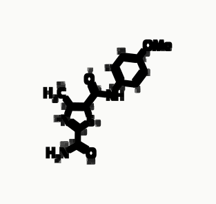 COc1ccc(NC(=O)c2sc(C(N)=O)nc2C)cc1